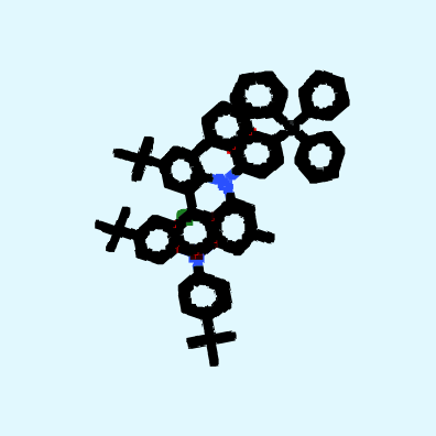 Cc1cc(N(c2ccc(C(C)(C)C)cc2)c2ccc(C(C)(C)C)cc2)c(Cl)c(N(c2ccc([Si](c3ccccc3)(c3ccccc3)c3ccccc3)cc2)c2c(-c3ccccc3)cc(C(C)(C)C)cc2-c2ccccc2)c1